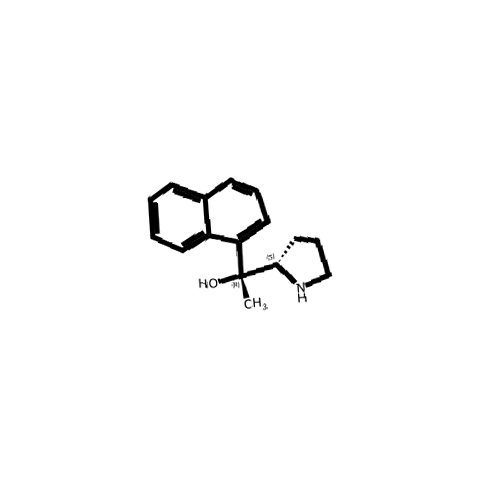 C[C@@](O)(c1cccc2ccccc12)[C@@H]1CCCN1